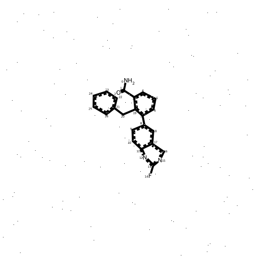 NC(=O)c1cccc(-c2ccc3nc(F)ncc3c2)c1Cc1ccccc1